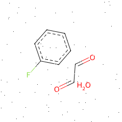 Fc1ccccc1.O.O=CC=O